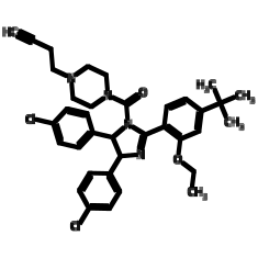 C#CCCN1CCN(C(=O)N2C(c3ccc(C(C)(C)C)cc3OCC)=NC(c3ccc(Cl)cc3)C2c2ccc(Cl)cc2)CC1